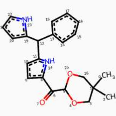 CC1(C)COC(C(=O)c2ccc(C(c3ccccc3)c3ccc[nH]3)[nH]2)OC1